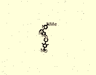 CNc1ccc(-c2ccnc3c2cc(CN2CCC(c4c(C)cc(C(=O)N(C)C)cc4C)CC2)n3C)nc1